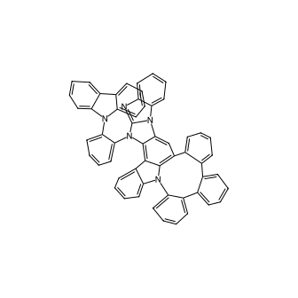 c1ccc(-n2c3c4c5ccccc5n5c6ccccc6c6ccccc6c6ccccc6c(cc3n3c6ccccc6nc23)c45)c(-n2c3ccccc3c3ccccc32)c1